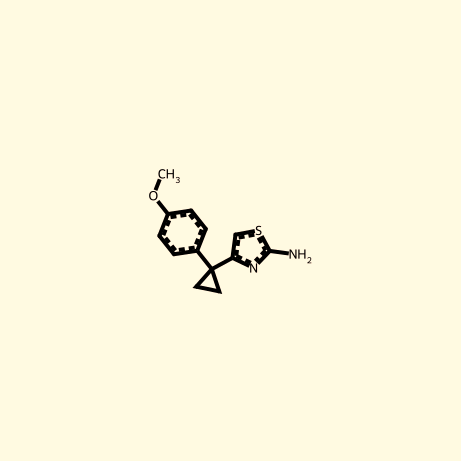 COc1ccc(C2(c3csc(N)n3)CC2)cc1